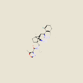 BC1=C(C(=N)/C=C2\C(=N)C3(CN(CC)C(=O)c4ncoc4C)CC[C@@H]2C3(C)C)C(F)=CCC1